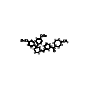 COc1ccc(C2(c3ccc(OC)cc3)CCCN(Cc3cccc(C(=O)N4CCCN(C)CC4)c3)C2)cc1